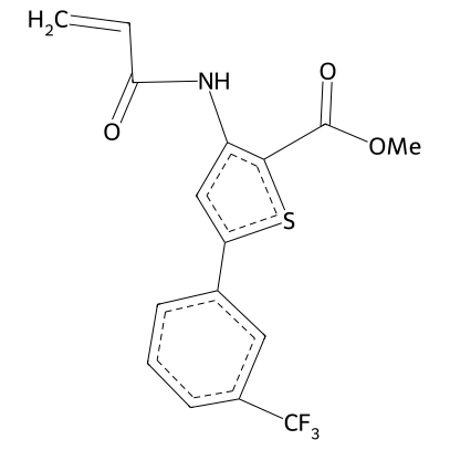 C=CC(=O)Nc1cc(-c2cccc(C(F)(F)F)c2)sc1C(=O)OC